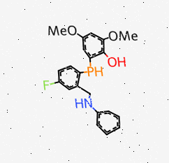 COc1cc(OC)c(O)c(Pc2ccc(F)cc2CNc2ccccc2)c1